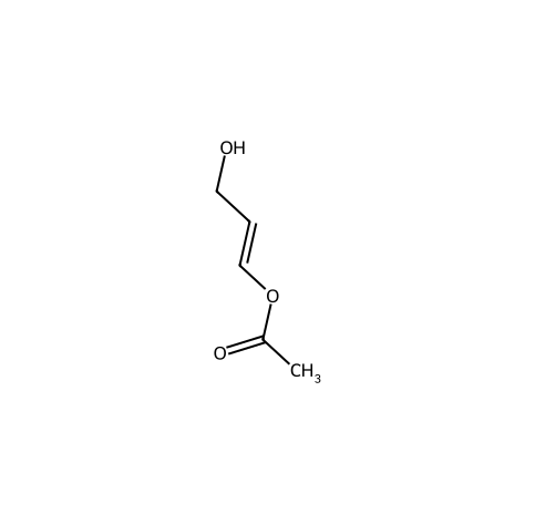 CC(=O)OC=CCO